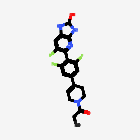 O=NCC(=O)N1CC=C(c2cc(F)c(-c3nc4c(cc3F)NC(O)N4)c(F)c2)CC1